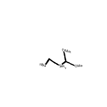 CCCCC[SiH2]C(OC)OC